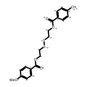 COc1ccc(C(=O)OCCSSCCOC(=O)c2ccc(C)cc2)cc1